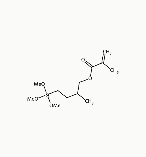 C=C(C)C(=O)OCC(C)CC[Si](OC)(OC)OC